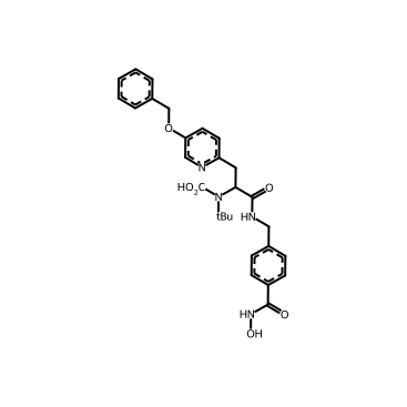 CC(C)(C)N(C(=O)O)C(Cc1ccc(OCc2ccccc2)cn1)C(=O)NCc1ccc(C(=O)NO)cc1